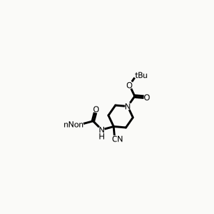 CCCCCCCCCC(=O)NC1(C#N)CCN(C(=O)OC(C)(C)C)CC1